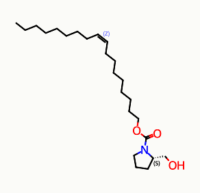 CCCCCCCC/C=C\CCCCCCCCOC(=O)N1CCC[C@H]1CO